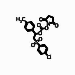 Cc1ccc(C(CS(=O)(=O)c2ccc(Cl)cc2)OC(=O)ON2C(=O)CCC2=O)cc1